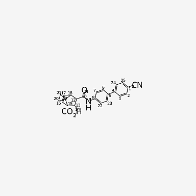 N#Cc1ccc(-c2ccc(NC(=O)C3C(C(=O)O)C4C=CC3C43CC3)cc2)cc1